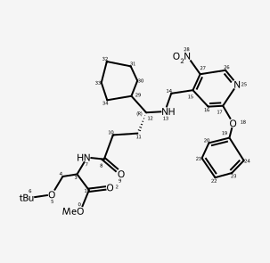 COC(=O)C(COC(C)(C)C)NC(=O)CC[C@@H](NCc1cc(Oc2ccccc2)ncc1[N+](=O)[O-])C1CCCCC1